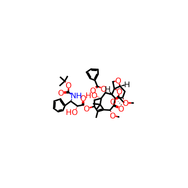 CO[C@H]1C(=O)[C@]2(C)[C@@H](OC)C[C@H]3OC[C@@]3(OC(C)=O)[C@H]2[C@H](OC(=O)c2ccccc2)[C@]2(O)CC(OC(=O)[C@H](O)[C@@H](NC(=O)OC(C)(C)C)c3ccccc3)C(C)=C1C2(C)C